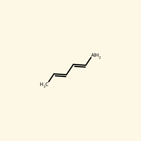 CC=CC=[CH][AlH2]